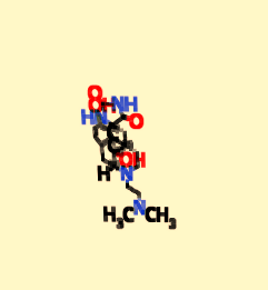 CN(C)CCN1CC[C@]23C[C@]4(CC[C@@]2(O)[C@H]1Cc1ccc(O)cc13)NC(=O)NC4=O